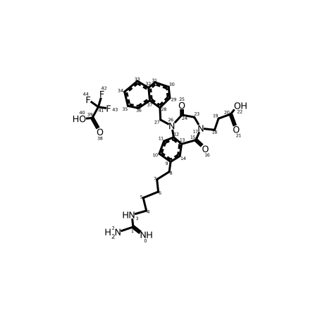 N=C(N)NCCCCCc1ccc2c(c1)C(=O)N(CCC(=O)O)CC(=O)N2Cc1cccc2ccccc12.O=C(O)C(F)(F)F